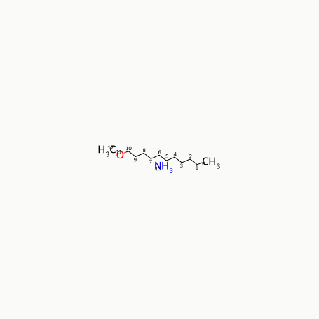 CCCCCCCCCCCOC.N